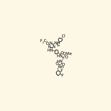 COC(=O)[C@H](CNC(=O)C(=O)NCc1cccc(F)c1F)NC(=O)c1ccc(Nc2nc(NC3(c4ccc(Cl)cc4)CC3)nc(OCC(F)(F)F)n2)cc1